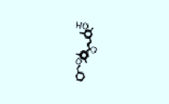 Cc1cc(C=CC(=O)c2cc(C)c(OCCC3CCCCC3)c(C)c2)cc(C)c1O